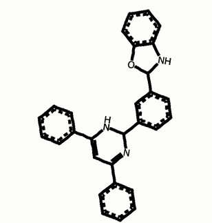 C1=C(c2ccccc2)NC(c2cccc(C3Nc4ccccc4O3)c2)N=C1c1ccccc1